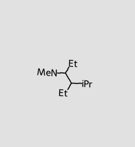 CCC(NC)C(CC)C(C)C